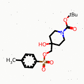 Cc1ccc(S(=O)(=O)OCC2(O)CCN(C(=O)OC(C)(C)C)CC2)cc1